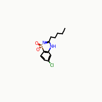 CCCCCC1=NS(=O)(=O)c2ccc(Cl)cc2N1